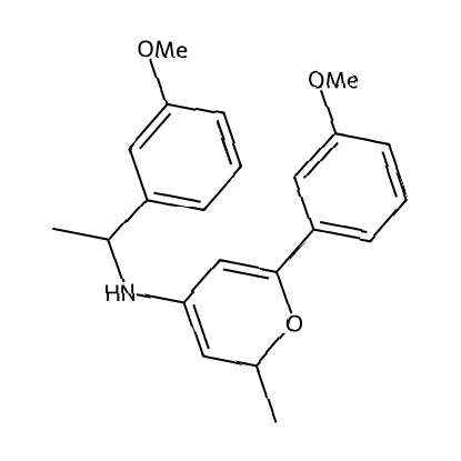 COc1cccc(C2=CC(NC(C)c3cccc(OC)c3)=CC(C)O2)c1